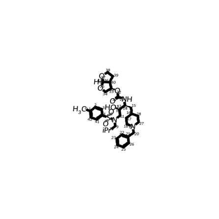 Cc1ccc(S(=O)(=O)N(CC(C)C)C[C@@H](O)[C@H](CC2CCN(Cc3ccccc3)CC2)NC(=O)O[C@H]2CO[C@H]3OCCC32)cc1